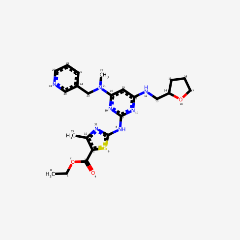 CCOC(=O)c1sc(Nc2nc(NCC3CCCO3)cc(N(C)Cc3cccnc3)n2)nc1C